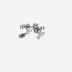 CC(C)C[C@H](NC(=O)OCC1c2ccccc2-c2ccccc21)C(=O)O[C@@H](C/C=C/C(=O)OC(C)(C)C)[C@H](C)/C=C/c1ccc(CN=[N+]=[N-])cc1